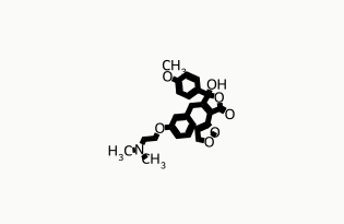 COc1ccc(C2(O)OC(=O)C(C3=CCOO3)=C2Cc2cccc(OCCN(C)C)c2)cc1